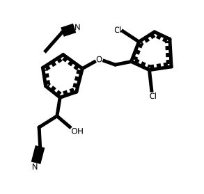 CC#N.N#CCC(O)c1cccc(OCc2c(Cl)cccc2Cl)c1